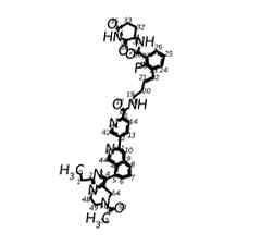 CCc1nc(-c2cccc3cc(-c4ccc(C(=O)NCC/C=C/c5cccc(C(=O)NC6CCC(=O)NC6=O)c5F)nc4)ncc23)c2n1CCN(C(C)=O)C2